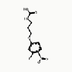 O=C(O)NCCCOc1ccc([N+](=O)[O-])c(F)c1